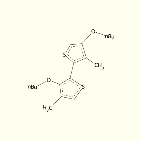 CCCCOc1csc(-c2scc(C)c2OCCCC)c1C